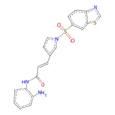 Nc1ccccc1NC(=O)/C=C/c1ccn(S(=O)(=O)c2ccc3ncsc3c2)c1